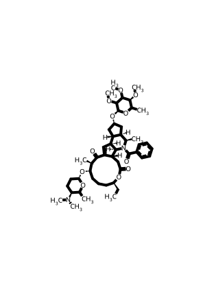 CC[C@H]1CCC[C@H](O[C@H]2CC[C@H](N(C)C)C(C)O2)[C@@H](C)C(=O)C2=C[C@H]3[C@@H]4C[C@H](O[C@@H]5OC(C)[C@H](OC)C(OC)C5OC)C[C@H]4[C@@H](C)N(C(=O)c4ccccc4)[C@H]3[C@@H]2CC(=O)O1